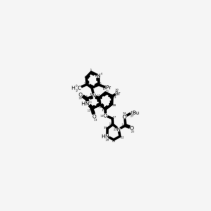 Cc1ccnc(C(C)C)c1-n1c(=O)[nH]c(=O)c2c(OCC3CNCCN3C(=O)OC(C)(C)C)cc(Br)cc21